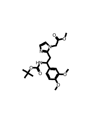 COC(=O)Cn1ccnc1CC(NC(=O)OC(C)(C)C)c1ccc(OC)c(OC)c1